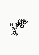 C[N@@+]1(CCC[S+]([O-])c2cc(F)cc(F)c2)CCC(C(C(N)=O)(c2ccccc2)c2ccccc2)C1